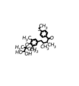 CSc1ccc(C(=O)[C@@H](C)[C@H](C)Cc2cc(C)c(OC(C)(C)C(O)O)c(C)c2)cc1